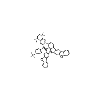 CC(C)(C)c1ccc(N2B3c4cc5oc6ccccc6c5cc4-n4c5cc6oc7ccccc7c6cc5c5ccc(c3c54)-c3cc4c(cc32)C(C)(C)CCC4(C)C)cc1